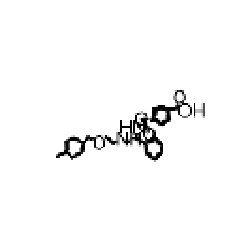 CC1=CCC(COCCNC[C@H](NS(=O)(=O)c2ccc(C(=O)O)cc2)c2ccccc2)=CC1